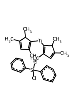 CC1=CC(C)=[C]([Ti][C]2=C(C)C=C(C)C2C)C1C.Cl[Si](Cl)(c1ccccc1)c1ccccc1